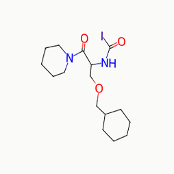 O=C(I)NC(COCC1CCCCC1)C(=O)N1CCCCC1